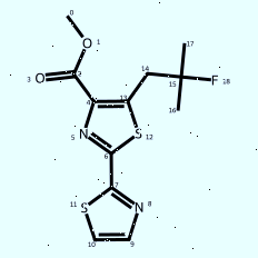 COC(=O)c1nc(-c2nccs2)sc1CC(C)(C)F